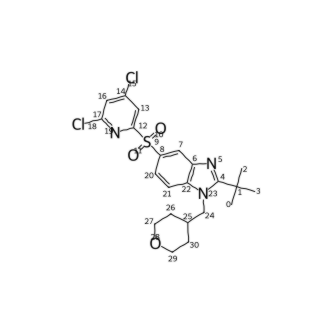 CC(C)(C)c1nc2cc(S(=O)(=O)c3cc(Cl)cc(Cl)n3)ccc2n1CC1CCOCC1